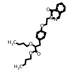 CCCCOC(=O)C(Cc1ccc(OCCn2ncc3ccccc3c2=O)cc1)OCCCC